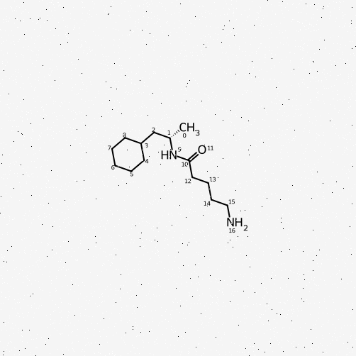 C[C@@H](CC1CCCCC1)NC(=O)CCCCN